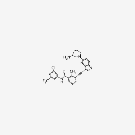 Cc1c(C#Cc2cnc3ccc(N4CCCC(N)C4)nn23)cccc1C(=O)Nc1cc(Cl)cc(C(F)(F)F)c1